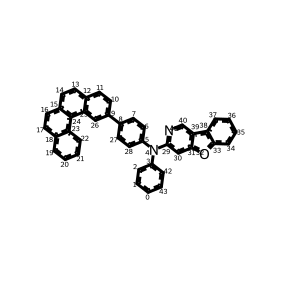 c1ccc(N(c2ccc(-c3ccc4ccc5ccc6ccccc6c5c4c3)cc2)c2cc3oc4ccccc4c3cn2)cc1